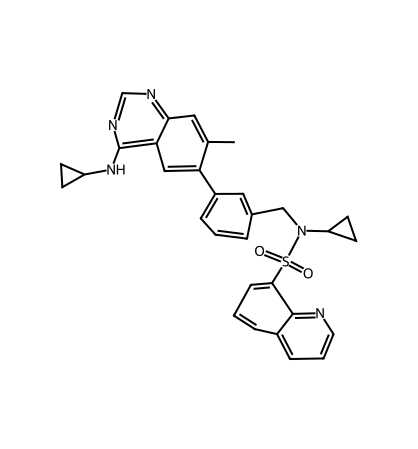 Cc1cc2ncnc(NC3CC3)c2cc1-c1cccc(CN(C2CC2)S(=O)(=O)c2cccc3cccnc23)c1